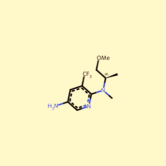 COC[C@@H](C)N(C)c1ncc(N)cc1C(F)(F)F